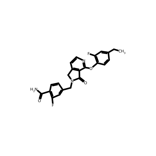 CCc1ccc(Oc2nccc3c2C(=O)N(Cc2ccc(C(N)=O)c(F)c2)C3)c(F)c1